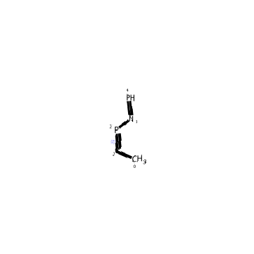 C/C=P\N=P